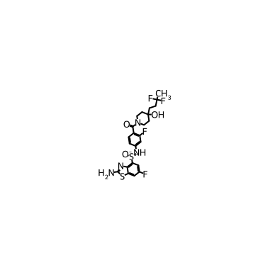 CC(F)(F)CCC1(O)CCN(C(=O)c2ccc(N[S+]([O-])c3cc(F)cc4sc(N)nc34)cc2F)CC1